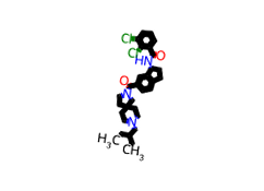 CCC(CC)CN1CCC2(CC1)CCN(C(=O)c1ccc3c(c1)C(NC(=O)c1cccc(Cl)c1Cl)CC3)C2